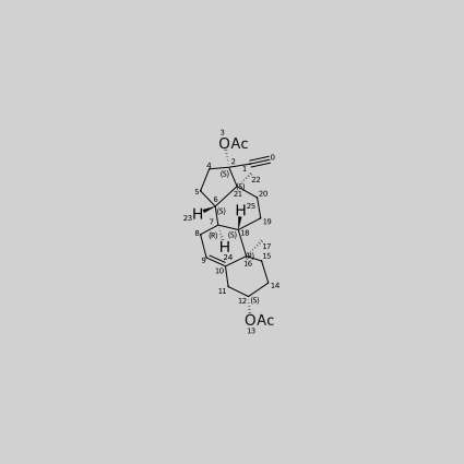 C#C[C@]1(OC(C)=O)CC[C@H]2[C@@H]3CC=C4C[C@@H](OC(C)=O)CC[C@]4(C)[C@H]3CC[C@@]21C